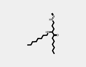 C=NNCCCC(NCCCCCCCC)C(=O)CCCCCC